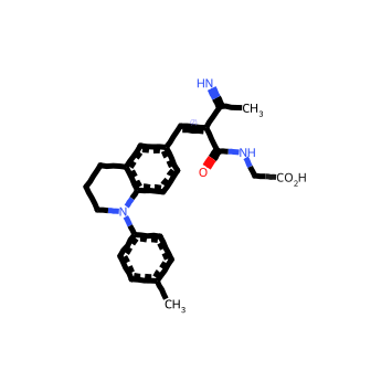 CC(=N)/C(=C/c1ccc2c(c1)CCCN2c1ccc(C)cc1)C(=O)NCC(=O)O